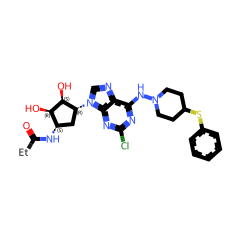 CCC(=O)N[C@H]1C[C@@H](n2cnc3c(NN4CCC(Sc5ccccc5)CC4)nc(Cl)nc32)[C@H](O)[C@@H]1O